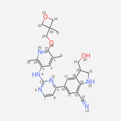 Cc1cc(Nc2nccc(-c3cc(C#N)c4c(c3)C(CO)CN4)n2)c(C)nc1OCC1(C)COC1